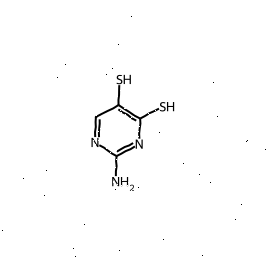 Nc1ncc(S)c(S)n1